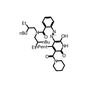 CCCCCc1c(/N=N/c2ccccc2C(=O)N(CC(CC)CCCC)CC(CC)CCCC)c(O)[nH]c(=O)c1C(=O)N1CCCCC1